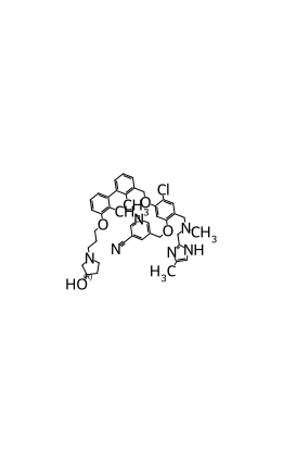 Cc1c[nH]c(CN(C)Cc2cc(Cl)c(OCc3cccc(-c4cccc(OCCCN5CC[C@@H](O)C5)c4C)c3C)cc2OCc2cncc(C#N)c2)n1